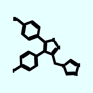 Brc1ccc(-c2snc(Cn3cnnc3)c2-c2ccc(I)cc2)cc1